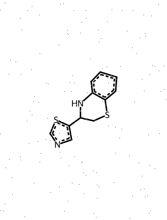 c1ccc2c(c1)NC(c1cncs1)CS2